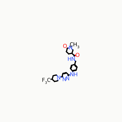 CN1CC(C(=O)NCc2ccc(Nc3ccc(N4CCC(C(F)(F)F)CC4)nn3)cc2)CCC1=O